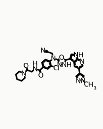 Cn1cc(-c2cnc3[nH]cc(C4NN=C(N(CC#N)c5ccc(C(=O)NCC(=O)N6CCCCC6)cc5Cl)O4)c3c2)cn1